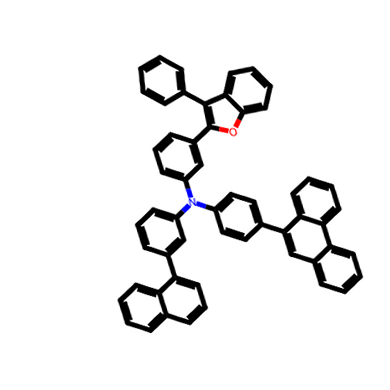 c1ccc(-c2c(-c3cccc(N(c4ccc(-c5cc6ccccc6c6ccccc56)cc4)c4cccc(-c5cccc6ccccc56)c4)c3)oc3ccccc23)cc1